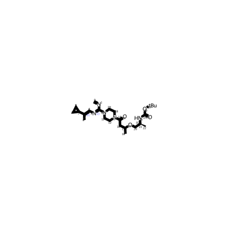 C=N/C(=N\C=C(/C)C1CC1)N1CCN(C(=O)CC(C)OC[C@H](C)NC(=O)OC(C)(C)C)CC1